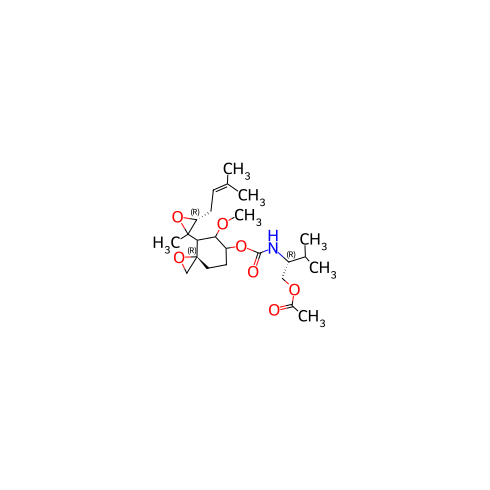 COC1C(OC(=O)N[C@@H](COC(C)=O)C(C)C)CC[C@]2(CO2)C1C1(C)O[C@@H]1CC=C(C)C